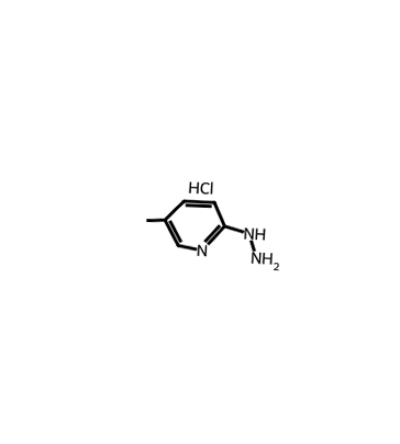 Cc1ccc(NN)nc1.Cl